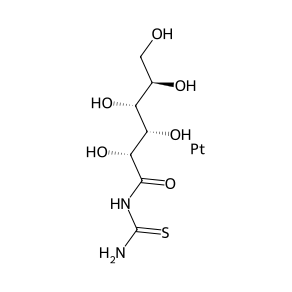 NC(=S)NC(=O)[C@H](O)[C@@H](O)[C@H](O)[C@H](O)CO.[Pt]